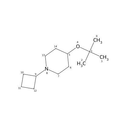 CC(C)(C)OC1CCN(C2CCC2)CC1